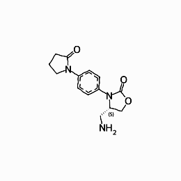 NC[C@H]1COC(=O)N1c1ccc(N2CCCC2=O)cc1